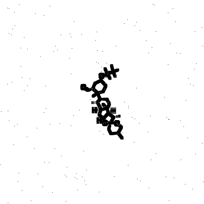 CC1CC[C@@]2(OC1)O[C@H]1C[C@H]3[C@H](C)[C@@H]([C@@]4(C)CCC(O[Si](C)(C)C(C)(C)C)C[C@@H]4C=O)CC[C@]3(C)[C@H]1[C@@H]2C